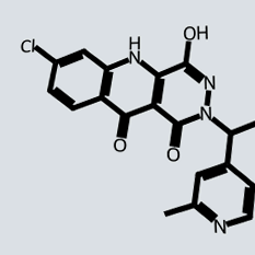 Cc1cc(C(C)n2nc(O)c3[nH]c4cc(Cl)ccc4c(=O)c3c2=O)ccn1